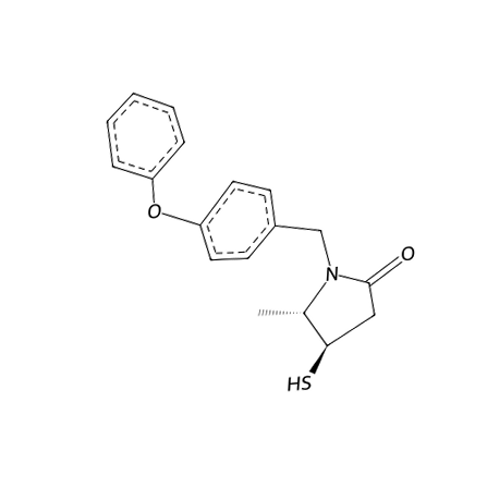 C[C@H]1[C@H](S)CC(=O)N1Cc1ccc(Oc2ccccc2)cc1